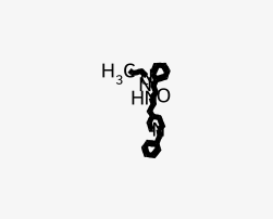 CCCn1nc(C(=O)NCCC2CCN(Cc3ccccc3)CC2)c2ccccc21